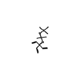 C=C[Si](C=C)(C=C)O[Si](C)(C)O[Si](C)(C)C